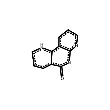 O=c1nc2ncccc2c2[nH]cccc1-2